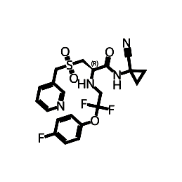 N#CC1(NC(=O)[C@H](CS(=O)(=O)Cc2cccnc2)NCC(F)(F)Oc2ccc(F)cc2)CC1